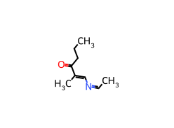 C/C=N\C=C(/C)C(=O)CCC